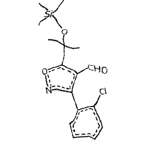 CC(C)(O[Si](C)(C)C)c1onc(-c2ccccc2Cl)c1C=O